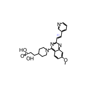 COc1ccc2c(N3CCC(CCP(=O)(O)O)CC3)nc(/C=C/c3cccnc3)nc2c1